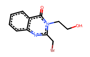 O=c1c2ccccc2nc(CBr)n1CCO